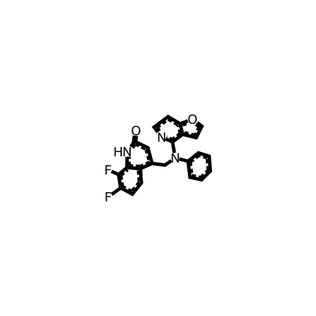 O=c1cc(CN(c2ccccc2)c2nccc3occc23)c2ccc(F)c(F)c2[nH]1